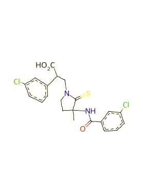 CC1(NC(=O)c2cccc(Cl)c2)CCN(CC(C(=O)O)c2cccc(Cl)c2)C1=S